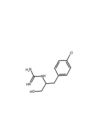 N=C(N)NC(CO)Cc1ccc(Cl)cc1